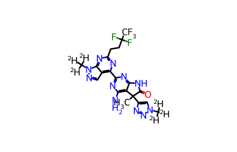 [2H]C([2H])([2H])n1cc(C2(C)C(=O)Nc3nc(-c4nc(CCC(F)(F)C(F)(F)F)nc5c4cnn5C([2H])([2H])[2H])nc(N)c32)nn1